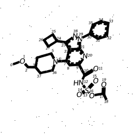 COCC1CCN(c2cc(C(=O)NS(=O)(=O)OC(C)=O)nc3c2c(C2CCC2)nn3-c2ccccc2)CC1